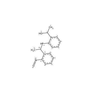 CC(O)c1ccccc1PC(C)c1ccccc1N=O